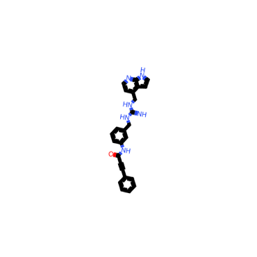 N=C(NCc1cccc(NC(=O)C#Cc2ccccc2)c1)NCc1ccnc2[nH]ccc12